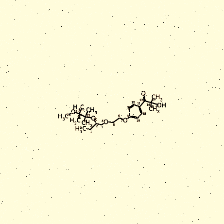 CCC(COCCOc1ccc(C(=O)C(C)(C)O)cc1)OC(C)(C)C(C)(C)OC